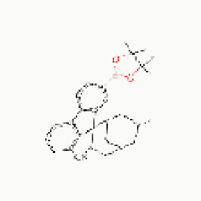 CC1CC2CC(C)C3(c4cc(B5OC(C)(C)C(C)(C)O5)ccc4-c4cccc(C#N)c43)C(C1)C2